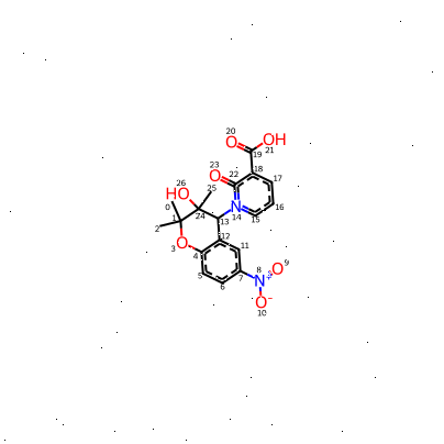 CC1(C)Oc2ccc([N+](=O)[O-])cc2C(n2cccc(C(=O)O)c2=O)C1(C)O